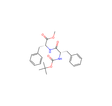 COC(=O)[C@@H](Cc1ccccc1)NC(=O)[C@H](Cc1ccccc1)NC(=O)OC(C)(C)C